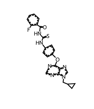 O=C(NC(=S)Nc1ccc(Oc2ncnc3c2ncn3CC2CC2)cc1)c1ccccc1F